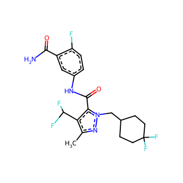 Cc1nn(CC2CCC(F)(F)CC2)c(C(=O)Nc2ccc(F)c(C(N)=O)c2)c1C(F)F